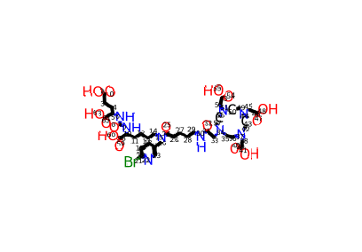 O=C(O)CCC(NC(=O)NC(CCCCN(Cc1ccc(Br)nc1)C(=O)CCCCNC(=O)CN1CCN(CC(=O)O)CCN(CC(=O)O)CCN(CC(=O)O)CC1)C(=O)O)C(=O)O